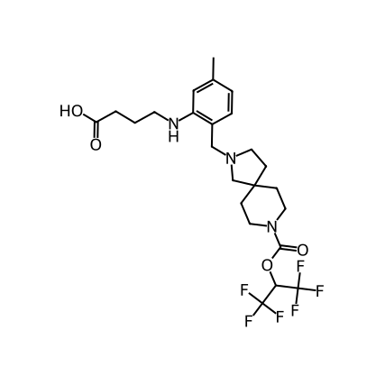 Cc1ccc(CN2CCC3(CCN(C(=O)OC(C(F)(F)F)C(F)(F)F)CC3)C2)c(NCCCC(=O)O)c1